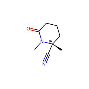 CN1C(=O)CCC[C@]1(C)C#N